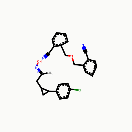 C/C(CC1CC1c1ccc(Cl)cc1)=N\O.N#Cc1ccccc1COCc1ccccc1C#N